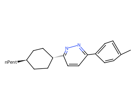 CCCCC[C@H]1CC[C@H](c2ccc(-c3ccc(C)cc3)nn2)CC1